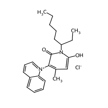 CCCCCC(CC)n1c(O)cc(C)c(-[n+]2cccc3ccccc32)c1=O.[Cl-]